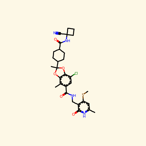 CSc1cc(C)[nH]c(=O)c1CNC(=O)c1cc(Cl)c2c(c1C)OC(C)(C1CCC(C(=O)NC3(C#N)CCC3)CC1)O2